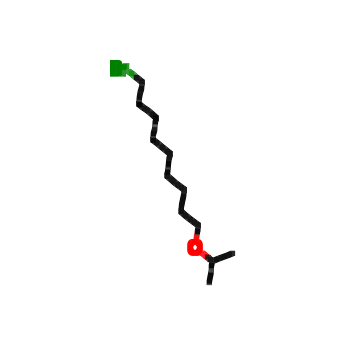 CC(C)OCCCCCCCCCBr